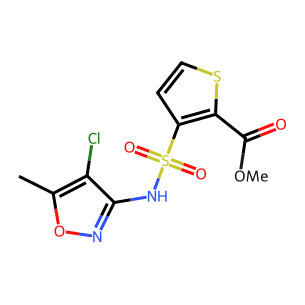 COC(=O)c1sccc1S(=O)(=O)Nc1noc(C)c1Cl